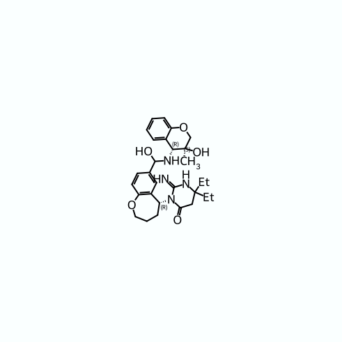 CCC1(CC)CC(=O)N([C@@H]2CCCOc3ccc(C(O)N[C@@H]4c5ccccc5OC[C@@]4(C)O)cc32)C(=N)N1